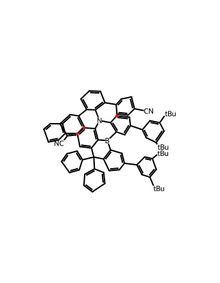 CC(C)(C)c1cc(-c2ccc3c(c2)B2c4cc(-c5cc(C(C)(C)C)cc(C(C)(C)C)c5)ccc4C(c4ccccc4)(c4ccccc4)c4cc(-c5ccccc5)cc(c42)N3c2c(-c3ccc(C#N)cc3)cccc2-c2ccc(C#N)cc2)cc(C(C)(C)C)c1